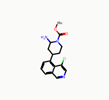 CC(C)(C)OC(=O)N1CCC(c2cccc3cncc(Cl)c23)CC1N